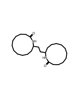 O=C1CCCCCCCCCCC(CCC2CCCCCCCCCCC(=O)N2)N1